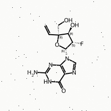 C=C[C@]1(CO)O[C@@H](n2cnc3c(=O)[nH]c(N)nc32)[C@@H](F)[C@@H]1O